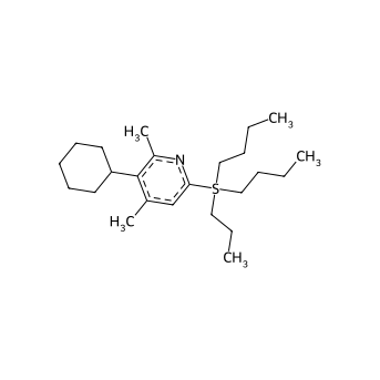 CCCCS(CCC)(CCCC)c1cc(C)c(C2CCCCC2)c(C)n1